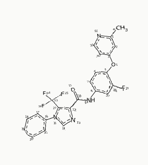 Cc1cc(Oc2ccc(NC(=O)c3ncn(-c4ccccc4)c3C(F)(F)F)cc2F)ccn1